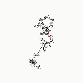 CC[C@H](C)[C@@H]1NC(=O)CNC(=O)C2Cc3c([nH]c4cc(OCCCSSC(C)CCNC(=O)[C@H](Cc5ccccc5)NC(=O)[C@H](Cc5ccccc5)NC(=O)CCCCCCCNC(=O)CCC(NC(=O)NC(CCC(=O)O)C(=O)O)C(=O)O)ccc34)[S+]([O-])CC(NC(=O)CNC1=O)C(=O)N[C@@H](CC(N)=O)C(=O)N1C[C@H](O)C[C@]1(C=O)N[C@@H]([C@@H](C)[C@@H](O)CO)C(=O)N2